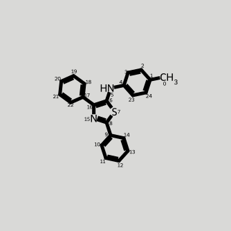 Cc1ccc(Nc2sc(-c3ccccc3)nc2-c2ccccc2)cc1